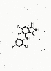 O=c1[nH][nH]c2cc(F)c(F)c(Nc3ccc(I)cc3Cl)c12